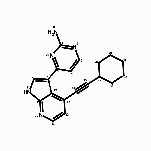 Nc1nccc(-c2c[nH]c3nccc(C#CC4CCCCC4)c23)n1